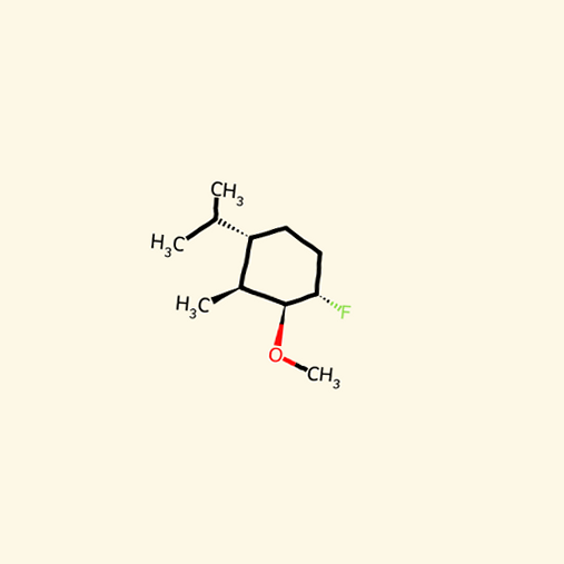 CO[C@H]1[C@@H](C)[C@H](C(C)C)CC[C@@H]1F